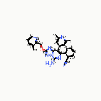 Cc1cc(-c2c(-c3ccccc3C#N)nc(N)n3nc(OCc4ncccc4C)nc23)cc(C)n1